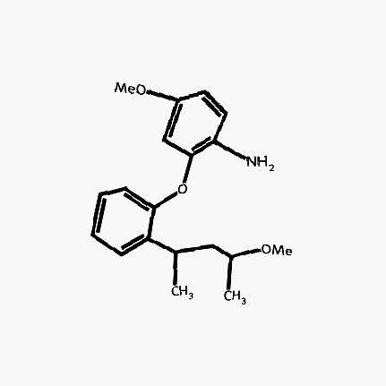 COc1ccc(N)c(Oc2ccccc2C(C)CC(C)OC)c1